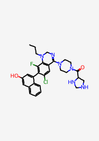 CCCN1CN=C(N2CCN(C(=O)C3CNCN3)CC2)c2cc(Cl)c(-c3cc(O)cc4ccccc34)c(F)c21